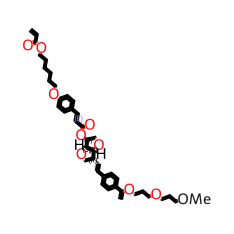 C=CC(=O)OCCCCCCOc1ccc(/C=C/C(=O)O[C@@H]2CO[C@H]3[C@@H]2OC[C@H]3C=Cc2ccc(C(=C)OCCCOCCCOC)cc2)cc1